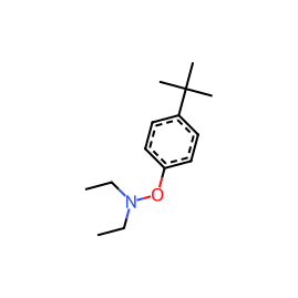 CCN(CC)Oc1ccc(C(C)(C)C)cc1